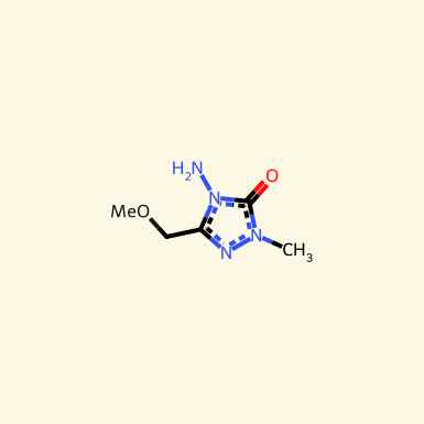 COCc1nn(C)c(=O)n1N